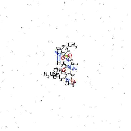 Cc1cc(S(=O)(=O)N(C)Cc2cnc(-c3ccn(C)c(=O)c3)n2COCC[Si](C)(C)C)c2[nH]ncc2c1